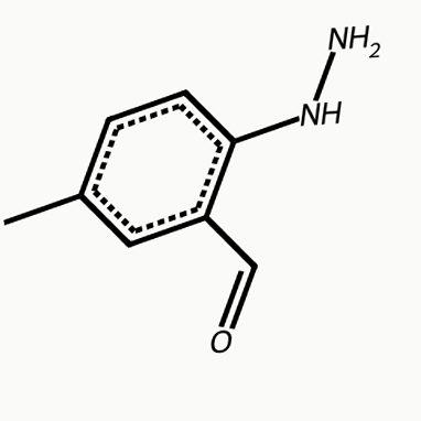 Cc1ccc(NN)c(C=O)c1